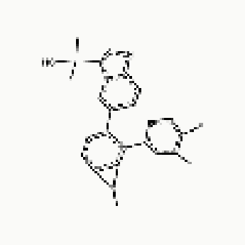 Cc1cc(-c2c(-c3ccc4ncc(C(C)(C)O)n4c3)ccc3c2C3C)ccc1F